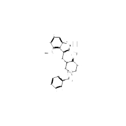 COc1cccc2[nH]cc(CC3CN(Cc4ccccc4)CCC3=O)c12